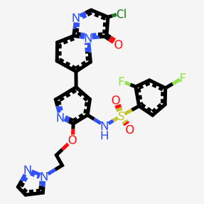 O=c1c(Cl)cnc2ccc(-c3cnc(OCCn4cccn4)c(NS(=O)(=O)c4ccc(F)cc4F)c3)cn12